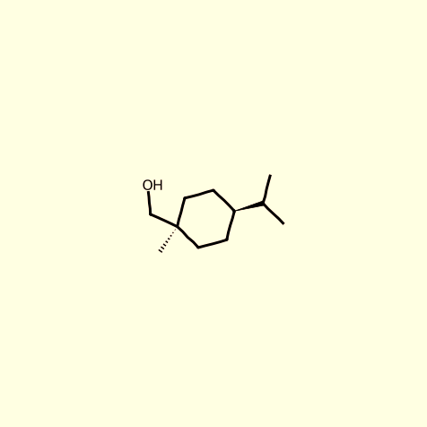 CC(C)[C@H]1CC[C@@](C)(CO)CC1